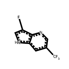 Fc1c[nH]c2cc(C(F)(F)F)cnc12